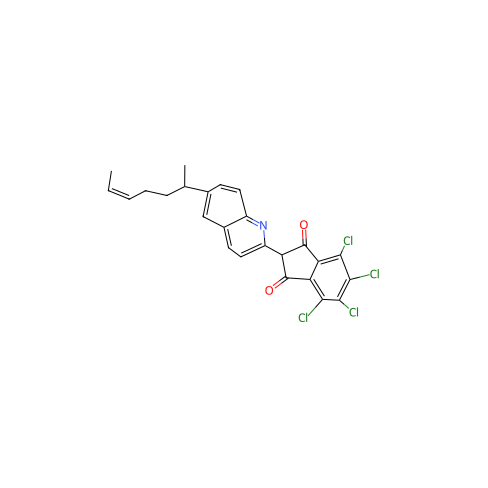 C/C=C\CCC(C)c1ccc2nc(C3C(=O)c4c(Cl)c(Cl)c(Cl)c(Cl)c4C3=O)ccc2c1